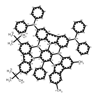 Cc1ccc2c(c1)c1cc(C)cc3c1n2-c1c2c4c5c(c1-c1ccccc1)-n1c6ccc(C(C)(C)C)cc6c6cc(C(C)(C)C)cc(c61)B5c1cc(N(c5ccccc5)c5ccccc5)cc5c6cc(N(c7ccccc7)c7ccccc7)cc(c6n-4c15)B23